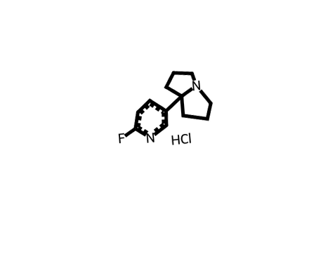 Cl.Fc1ccc(C23CCCN2CCC3)cn1